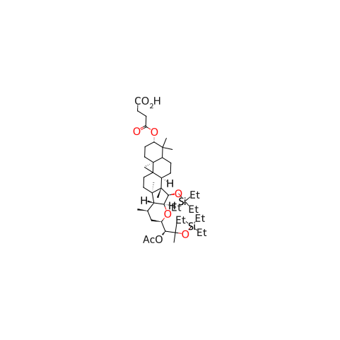 CC[Si](CC)(CC)O[C@H]1[C@H]2O[C@@H]([C@H](OC(C)=O)C(C)(C)O[Si](CC)(CC)CC)C[C@@H](C)[C@@H]2[C@@]2(C)CCC34C[C@@]35CC[C@H](OC(=O)CCC(=O)O)C(C)(C)C5CC[C@H]4[C@]12C